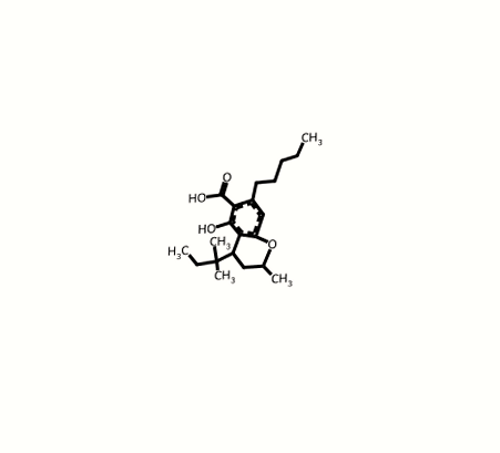 CCCCCc1cc2c(c(O)c1C(=O)O)C(C(C)(C)CC)CC(C)O2